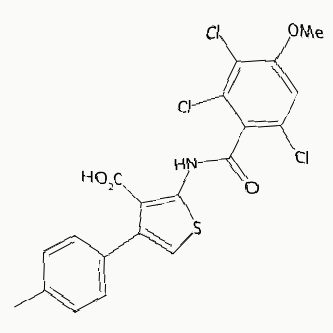 COc1cc(Cl)c(C(=O)Nc2scc(-c3ccc(C)cc3)c2C(=O)O)c(Cl)c1Cl